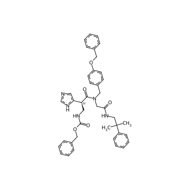 CC(C)(CNC(=O)CN(Cc1ccc(OCc2ccccc2)cc1)C(=O)[C@@H](CNC(=O)OCc1ccccc1)c1cnc[nH]1)c1ccccc1